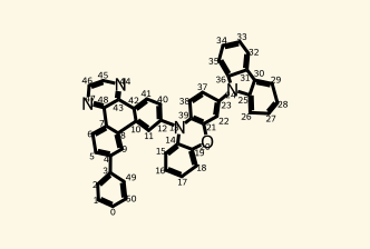 c1ccc(-c2ccc3c(c2)c2cc(N4c5ccccc5Oc5cc(-n6c7ccccc7c7ccccc76)ccc54)ccc2c2nccnc32)cc1